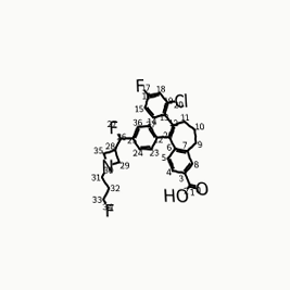 O=C(O)c1ccc2c(c1)CCCC(c1ccc(F)cc1Cl)=C2c1ccc(C(F)C2CN(CCCF)C2)cc1